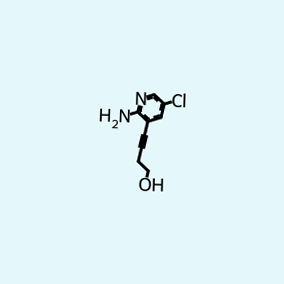 Nc1ncc(Cl)cc1C#CCCO